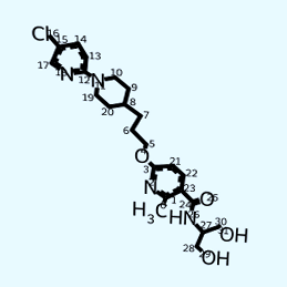 Cc1nc(OCCCC2CCN(c3ccc(Cl)cn3)CC2)ccc1C(=O)NC(CO)CO